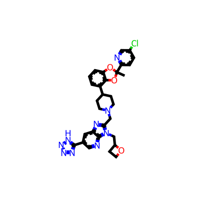 CC1(c2ccc(Cl)cn2)Oc2cccc(C3CCN(Cc4nc5cc(-c6nnn[nH]6)cnc5n4CC4CCO4)CC3)c2O1